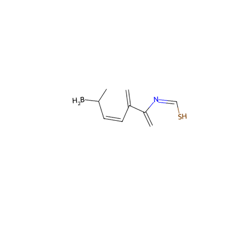 BC(C)/C=C\C(=C)C(=C)/N=C\S